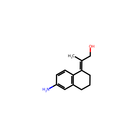 C/C(CO)=C1/CCCc2cc(N)ccc21